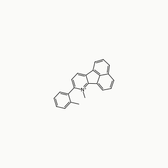 Cc1ccccc1-c1ccc2c([n+]1C)-c1cccc3cccc-2c13